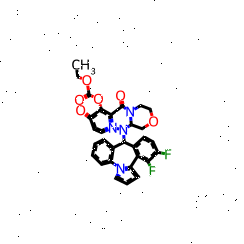 CCOC(=O)Oc1c2n(ccc1=O)N(C1c3ccccc3-n3cccc3-c3c1ccc(F)c3F)C1COCCN1C2=O